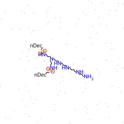 CCCCCCCCCCCCS(=O)(=O)NCCCN(CCCNCCCNCCCCNCCCN)CCCNS(=O)(=O)CCCCCCCCCCCC